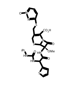 CO[C@]1(NC(=O)C(NC(=O)NC(C)C)c2cccs2)C(=O)N2C(C(=O)O)=C(CSc3ccc[n+]([O-])n3)CSC21